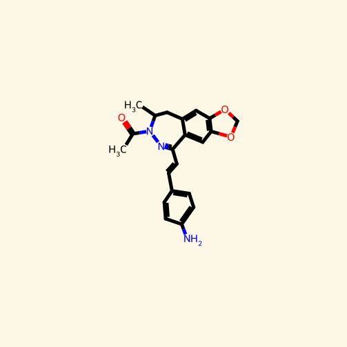 CC(=O)N1N=C(C=Cc2ccc(N)cc2)c2cc3c(cc2CC1C)OCO3